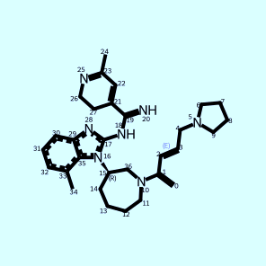 C=C(/C=C/CN1CCCC1)N1CCCC[C@@H](n2c(NC(=N)C3=CC(C)=NCC3)nc3cccc(C)c32)C1